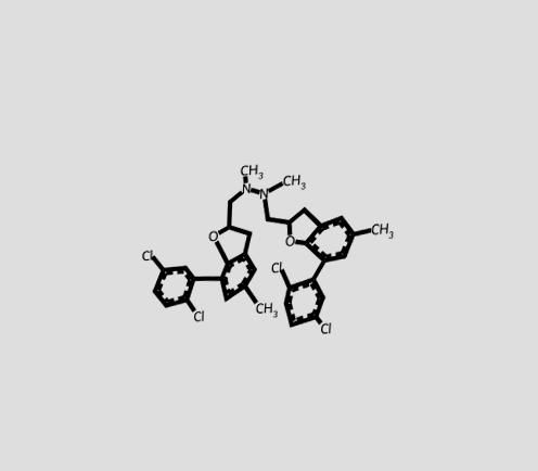 Cc1cc2c(c(-c3cc(Cl)ccc3Cl)c1)OC(CN(C)N(C)CC1Cc3cc(C)cc(-c4cc(Cl)ccc4Cl)c3O1)C2